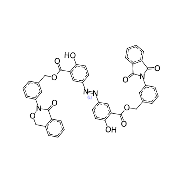 O=C(OCc1cccc(N2OCc3ccccc3C2=O)c1)c1cc(/N=N/c2ccc(O)c(C(=O)OCc3cccc(N4C(=O)c5ccccc5C4=O)c3)c2)ccc1O